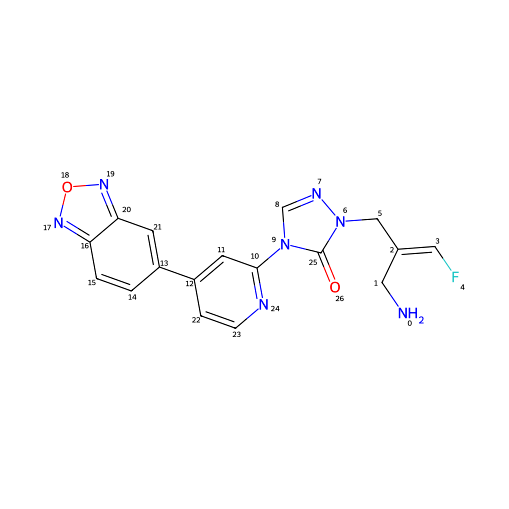 NC/C(=C\F)Cn1ncn(-c2cc(-c3ccc4nonc4c3)ccn2)c1=O